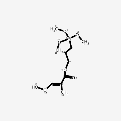 CO[Si](CCCOC(=O)C(C)=COO)(OC)OC